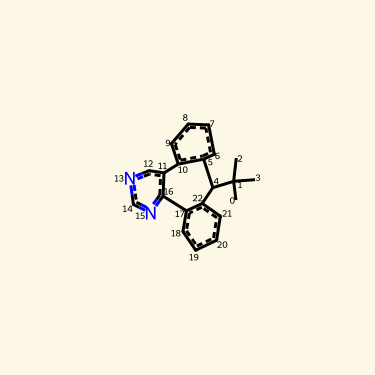 CC(C)(C)C1c2ccccc2-c2cncnc2-c2ccccc21